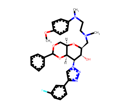 COc1ccc(N(C)CCN(C)C[C@@H]2O[C@@H]3COC(c4ccccc4)O[C@@H]3[C@H](n3cc(-c4cccc(F)c4)nn3)[C@H]2O)cc1